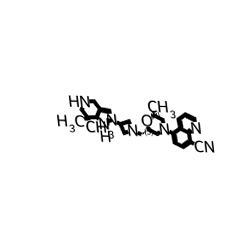 C[C@@H]1CN(c2ccc(C#N)c3ncccc23)C[C@H](CN2CC(N3C=C4CNCC(C)(C)C4N3)C2)O1